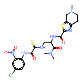 CN1CCc2nc(C(=O)NC(CNC(=S)C(=O)Nc3ccc(Cl)cc3[N+](=O)[O-])C(=O)N(C)C)sc2C1